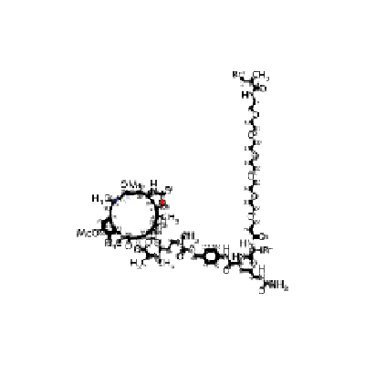 C=C(CBr)C(=O)NCCOCCOCCOCCOCCOCCOCCC(=O)N[C@H](C(=O)N[C@@H](CCCNC(N)=O)C(=O)Nc1ccc(COC(=O)N(C)CCC(=O)N(C)[C@@H](C)C(=O)O[C@@H]2CC(=O)N(C)c3cc(cc(OC)c3Cl)C/C(C)=C/C=C/[C@@H](OC)[C@@]3(O)C[C@H](OC(=O)N3)[C@@H](C)[C@@H]3O[C@H]32)cc1)C(C)C